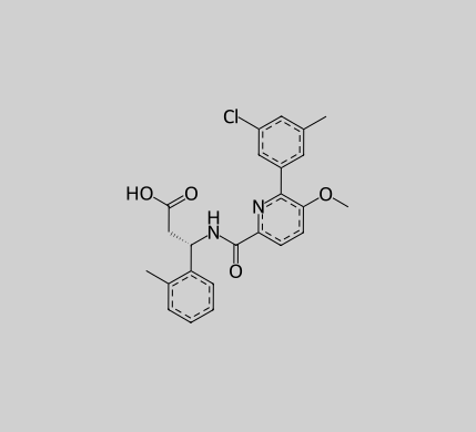 COc1ccc(C(=O)N[C@@H](CC(=O)O)c2ccccc2C)nc1-c1cc(C)cc(Cl)c1